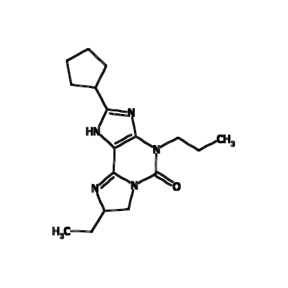 CCCN1C(=O)N2CC(CC)N=C2c2[nH]c(C3CCCC3)nc21